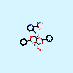 COC(=O)c1ncccc1C[C@H]1OC(c2ccccc2)O[C@H]2[C@H]1OC(c1ccccc1)O[C@@H]2CO